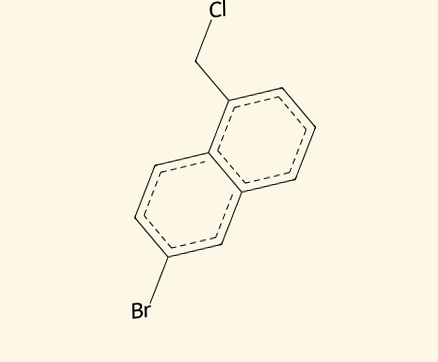 ClCc1cccc2cc(Br)ccc12